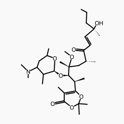 CCC[C@@](C)(O)/C=C/C(=O)[C@H](C)C[C@@](C)(OC)[C@H](O[C@@H]1OC(C)CC(N(C)C)C1C)[C@@H](C)C1=C(C)C(=O)OC(C)(C)O1